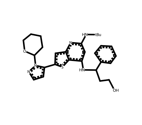 CC(C)(C)Nc1cc(NC(CCO)c2ccccc2)c2sc(-c3ccnn3C3CCCCO3)cc2n1